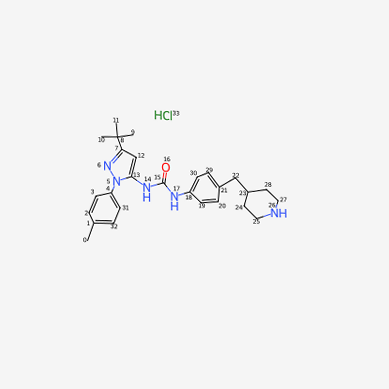 Cc1ccc(-n2nc(C(C)(C)C)cc2NC(=O)Nc2ccc(CC3CCNCC3)cc2)cc1.Cl